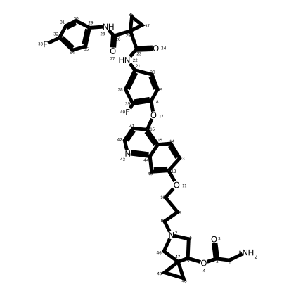 NCC(=O)OC1CN(CCCOc2ccc3c(Oc4ccc(NC(=O)C5(C(=O)Nc6ccc(F)cc6)CC5)cc4F)ccnc3c2)CC12CC2